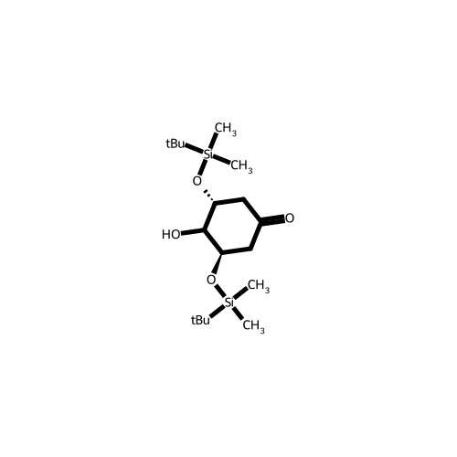 CC(C)(C)[Si](C)(C)O[C@@H]1CC(=O)C[C@@H](O[Si](C)(C)C(C)(C)C)C1O